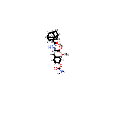 CN(C)C(=O)Oc1ccc(C[C@H](NC(=O)C23CC4CC(CC(C4)C2)C3)C(=O)OC(C)(C)C)cc1